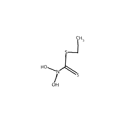 CCSC(=S)N(O)O